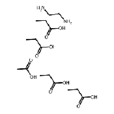 CC(=O)O.CCC(=O)O.CCC(=O)O.CCC(=O)O.CCC(=O)O.NCCN